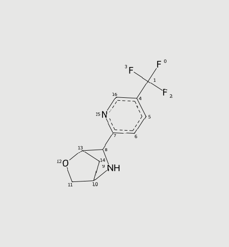 FC(F)(F)c1ccc(C2NC3COC2C3)nc1